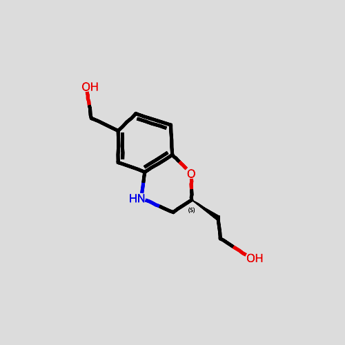 OCC[C@H]1CNc2cc(CO)ccc2O1